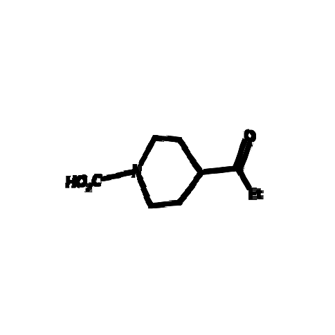 CCC(=O)C1CCN(C(=O)O)CC1